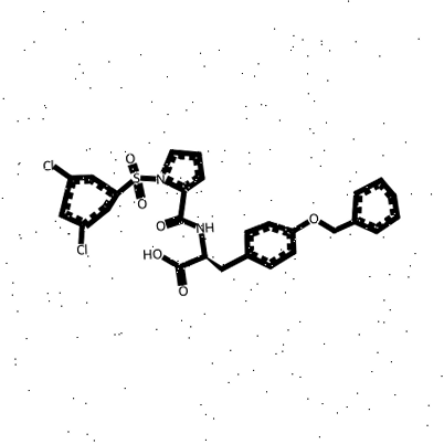 O=C(N[C@@H](Cc1ccc(OCc2ccccc2)cc1)C(=O)O)c1cccn1S(=O)(=O)c1cc(Cl)cc(Cl)c1